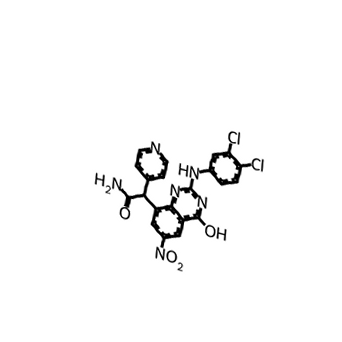 NC(=O)C(c1ccncc1)c1cc([N+](=O)[O-])cc2c(O)nc(Nc3ccc(Cl)c(Cl)c3)nc12